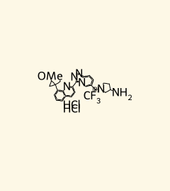 COCC1(c2cccc3ccc(-c4nnc5ccc([C@@H](N6CCC(N)C6)C(F)(F)F)cn45)nc23)CC1.Cl.Cl